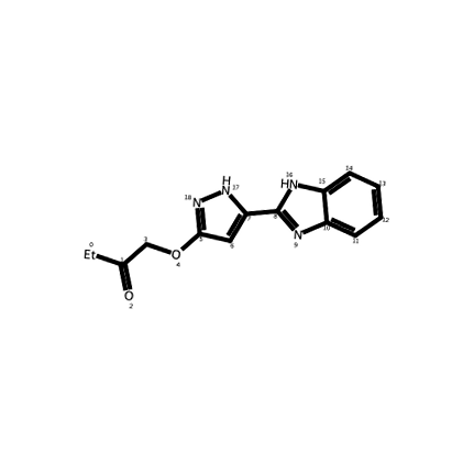 CCC(=O)COc1cc(-c2nc3ccccc3[nH]2)[nH]n1